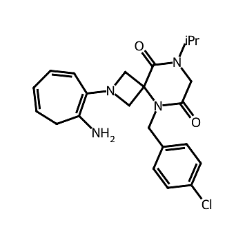 CC(C)N1CC(=O)N(Cc2ccc(Cl)cc2)C2(CN(C3=C(N)CC=CC=C3)C2)C1=O